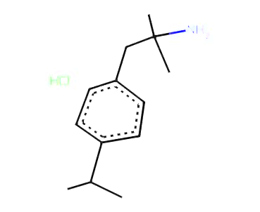 CC(C)c1ccc(CC(C)(C)N)cc1.Cl